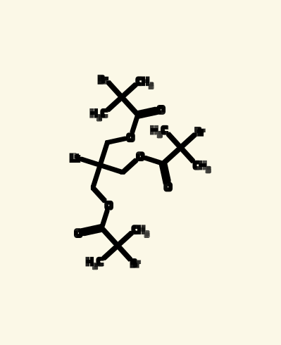 CCC(COC(=O)C(C)(C)Br)(COC(=O)C(C)(C)Br)COC(=O)C(C)(C)Br